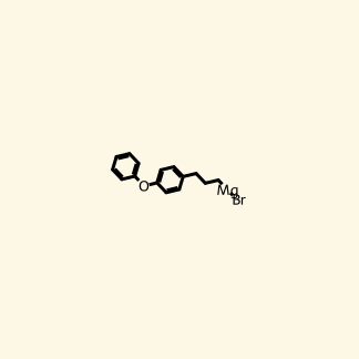 [Br][Mg][CH2]CCc1ccc(Oc2ccccc2)cc1